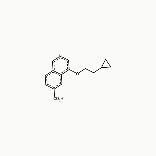 O=C(O)c1ccc2cncc(OCCC3CC3)c2c1